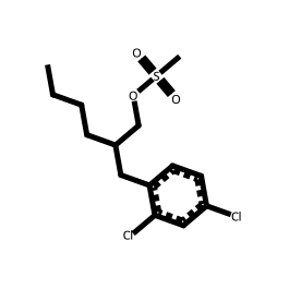 CCCCC(COS(C)(=O)=O)Cc1ccc(Cl)cc1Cl